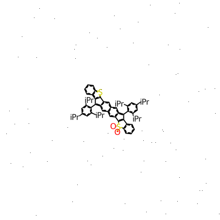 CC(C)c1cc(C(C)C)c(C2=c3cc4cc5c(cc4cc3C3=C2c2ccccc2S3(=O)=O)=C(c2c(C(C)C)cc(C(C)C)cc2C(C)C)c2c-5sc3ccccc23)c(C(C)C)c1